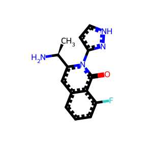 C[C@H](N)c1cc2cccc(F)c2c(=O)n1-c1cc[nH]n1